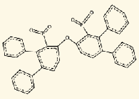 O=P(=O)c1c(Oc2ccc(-c3ccccc3)c(-c3ccccc3)c2P(=O)=O)ccc(-c2ccccc2)c1-c1ccccc1